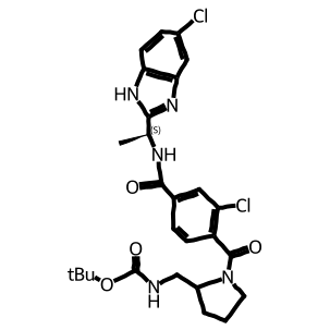 C[C@H](NC(=O)c1ccc(C(=O)N2CCCC2CNC(=O)OC(C)(C)C)c(Cl)c1)c1nc2cc(Cl)ccc2[nH]1